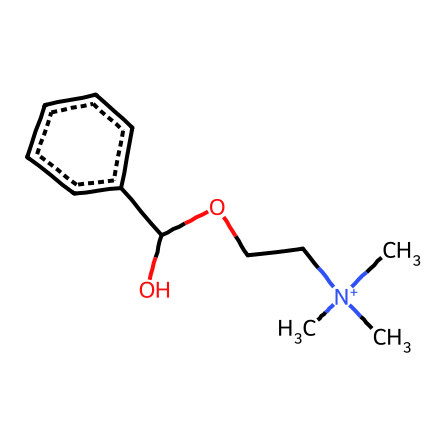 C[N+](C)(C)CCOC(O)c1ccccc1